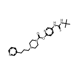 CC(C)(C)NC(=S)Nc1ccc(OC(=O)N2CCN(CCCc3cccnc3)CC2)nc1